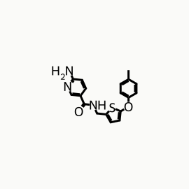 Cc1ccc(Oc2ccc(CNC(=O)c3ccc(N)nc3)s2)cc1